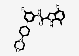 Cc1ccc(F)c2c1NC(C(=O)Nc1cc(F)cc([C@H]3CC[C@H](N4CCOCC4)CC3)c1)C2